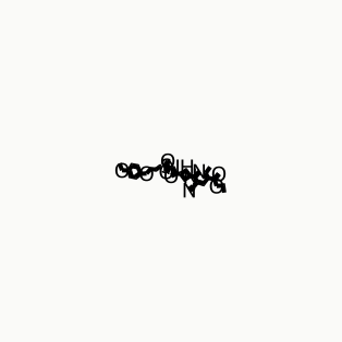 CCOC(=O)c1cc(C#N)c(N2CC(C(=O)NS(=O)(=O)CCCOc3ccc(OC)cc3)C2)nc1C